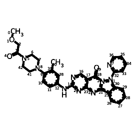 COCC(=O)N1CCN(c2ccc(Nc3ncc4c(=O)n5c(nc4n3)c3ccccc3n5-c3ccccn3)cc2C)CC1